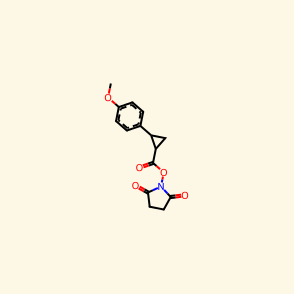 COc1ccc(C2CC2C(=O)ON2C(=O)CCC2=O)cc1